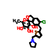 C[C@H]1O[C@]2(OCc3cc(Cl)c(Cc4ccc(CN5CCCC5)s4)cc32)[C@H](O)[C@@H](O)[C@@H]1O